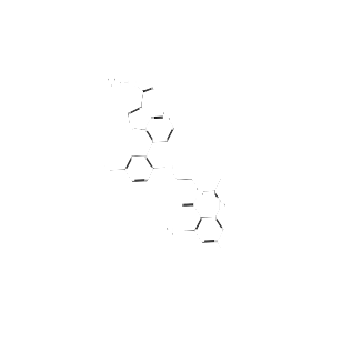 COC(=O)c1csc2c(-c3cc(Cl)ccc3OCCn3c(C)nc4cc(C(F)(F)F)cc(C#N)c4c3=O)ccnc12